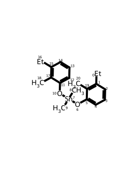 CCc1cccc([O][Sn]([CH3])([CH3])[O]c2cccc(CC)c2C)c1C